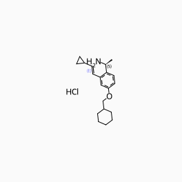 C[C@H](N)c1ccc(OCC2CCCCC2)cc1/C=C/C1CC1.Cl